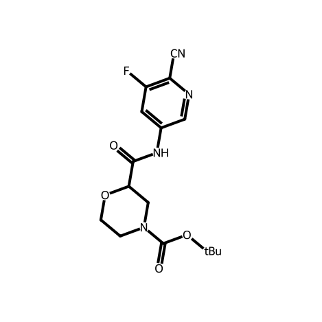 CC(C)(C)OC(=O)N1CCOC(C(=O)Nc2cnc(C#N)c(F)c2)C1